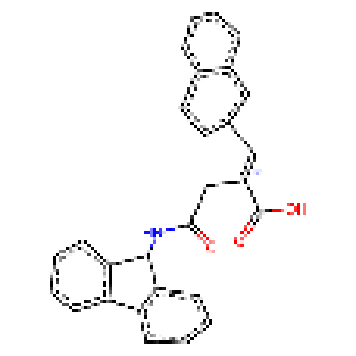 O=C(C/C(=C\c1ccc2ccccc2c1)C(=O)O)NC1c2ccccc2-c2ccccc21